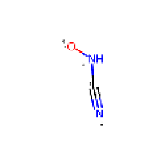 N#CN[O]